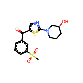 CS(=O)(=O)c1cccc(C(=O)c2cnc(N3CCC[C@H](O)C3)s2)c1